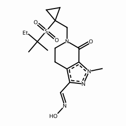 CCC(C)(C)S(=O)(=O)C1(CN2CCc3c(/C=N/O)nn(C)c3C2=O)CC1